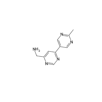 Cc1ncc(-c2cc(CN)ncn2)cn1